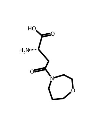 N[C@@H](CC(=O)N1CCCOCC1)C(=O)O